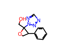 OCC1(n2ncnn2)OCC1c1ccccc1